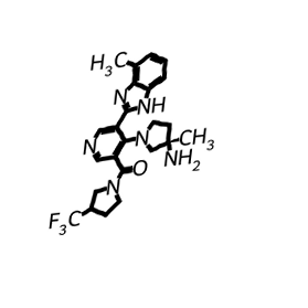 Cc1cccc2[nH]c(-c3cncc(C(=O)N4CCC(C(F)(F)F)C4)c3N3CC[C@](C)(N)C3)nc12